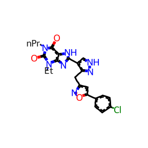 CCCn1c(=O)c2[nH]c(-c3c[nH]nc3Cc3cc(-c4ccc(Cl)cc4)on3)nc2n(CC)c1=O